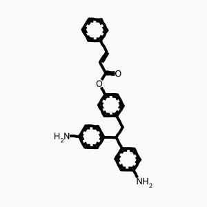 Nc1ccc(C(Cc2ccc(OC(=O)/C=C/c3ccccc3)cc2)c2ccc(N)cc2)cc1